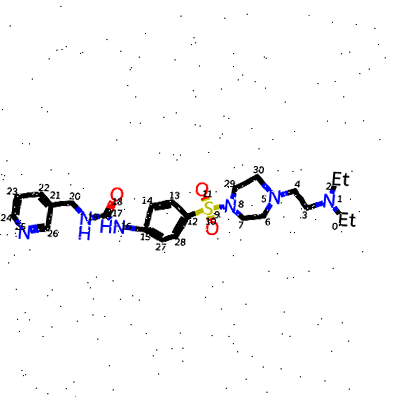 CCN(CC)CCN1CCN(S(=O)(=O)c2ccc(NC(=O)NCc3cccnc3)cc2)CC1